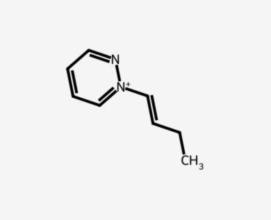 CCC=C[n+]1ccccn1